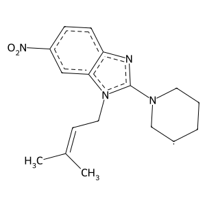 CC(C)=CCn1c(N2C[CH]CCC2)nc2ccc([N+](=O)[O-])cc21